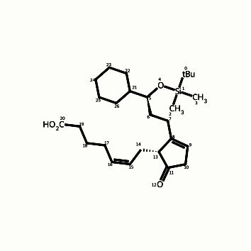 CC(C)(C)[Si](C)(C)O[C@@H](CCC1=CCC(=O)[C@@H]1C/C=C\CCCC(=O)O)C1CCCCC1